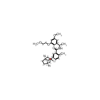 COCCOc1cc(OC)cc([C@@H](C)NC(=O)c2cc(N3C[C@H]4CC[C@@H](C3)N4CI)ccc2C)c1